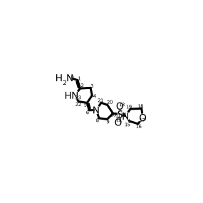 N/C=C1/CC/C(=C\N2CCC(S(=O)(=O)N3CCOCC3)CC2)CN1